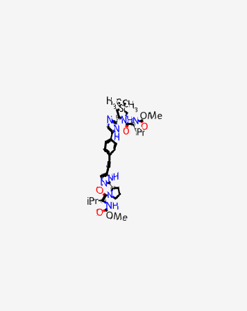 COC(=O)N[C@H](C(=O)N1CCC[C@H]1c1ncc(C#Cc2ccc(-c3cnc([C@@H]4C[Si](C)(C)CN4C(=O)[C@@H](NC(=O)OC)C(C)C)[nH]3)cc2)[nH]1)C(C)C